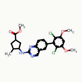 COC(=O)C1CC(C)C(Nc2ncc3cc(-c4c(Cl)c(OC)cc(OC)c4Cl)ccc3n2)C1